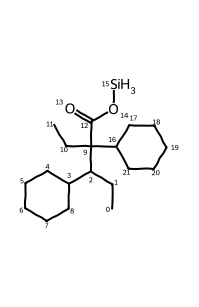 CCC(C1CCCCC1)C(CC)(C(=O)O[SiH3])C1CCCCC1